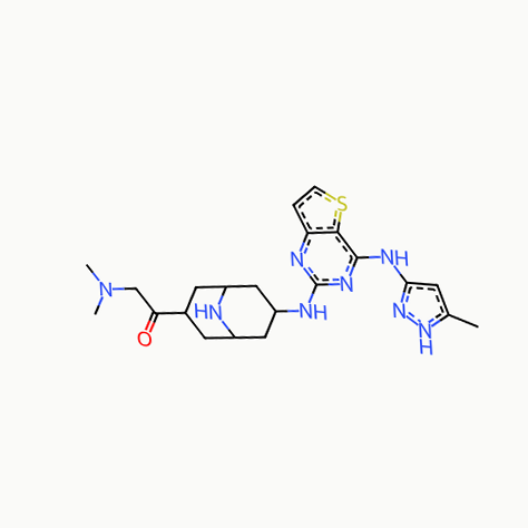 Cc1cc(Nc2nc(NC3CC4CC(C(=O)CN(C)C)CC(C3)N4)nc3ccsc23)n[nH]1